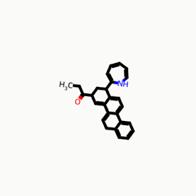 CCC(=O)C1C=c2c(ccc3c2=CCc2ccccc2-3)C(C2=CC=CC=CN2)C1